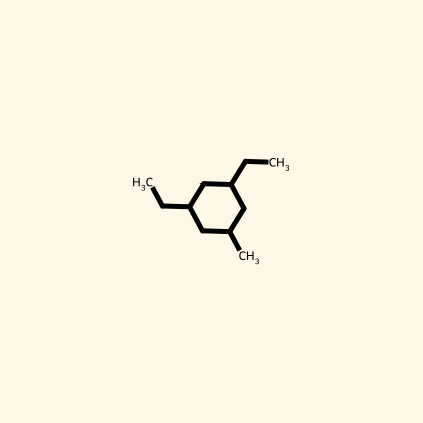 CCC1[CH]C(CC)CC(C)C1